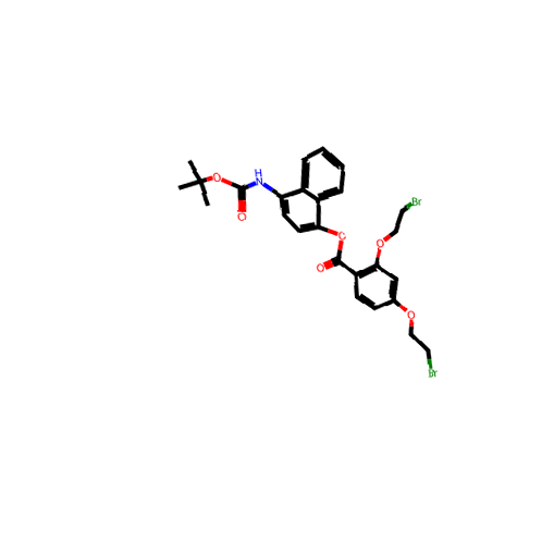 CC(C)(C)OC(=O)Nc1ccc(OC(=O)c2ccc(OCCBr)cc2OCCBr)c2ccccc12